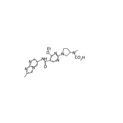 CCOc1nc(N2CCC(N(C)C(=O)O)C2)ncc1C(=O)Nc1cnc2nc(C)cn2c1